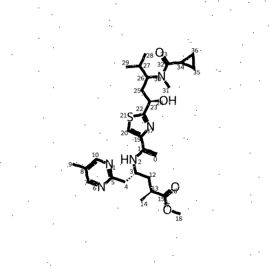 C=C(N[C@@H](Cc1ncc(C)cn1)C[C@H](C)C(=O)OC)c1csc([C@H](O)CC(C(C)C)N(C)C(=O)C2CC2)n1